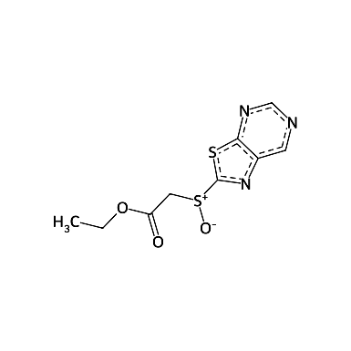 CCOC(=O)C[S+]([O-])c1nc2cncnc2s1